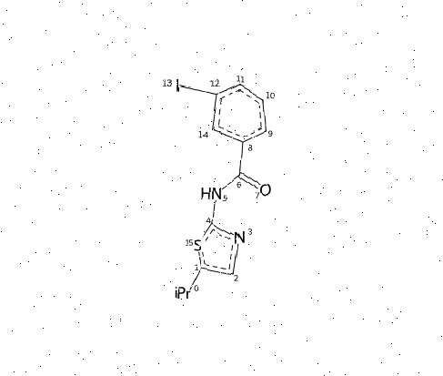 CC(C)c1cnc(NC(=O)c2cccc(I)c2)s1